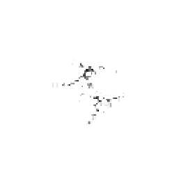 CCOC(=O)CC(CC(=O)OCC)(OC(C)=O)C(=O)OCC.CCOC(=O)CC(O)(CC(=O)OCC)C(=O)OCC